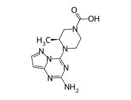 C[C@H]1CN(C(=O)O)CCN1c1nc(N)nc2ccnn12